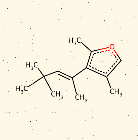 C/C(=C\C(C)(C)C)c1c(C)coc1C